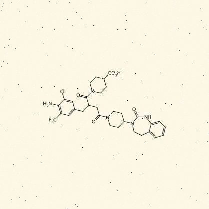 Nc1c(Cl)cc(CC(CC(=O)N2CCC(N3CCc4ccccc4NC3=O)CC2)C(=O)N2CCC(C(=O)O)CC2)cc1C(F)(F)F